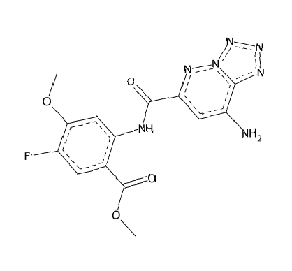 COC(=O)c1cc(F)c(OC)cc1NC(=O)c1cc(N)c2nnnn2n1